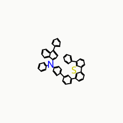 c1ccc(-c2ccc(N(c3ccccc3)c3ccc(-c4cccc(-c5cccc6c5sc5c(-c7ccccc7)cccc56)c4)cc3)c3ccccc23)cc1